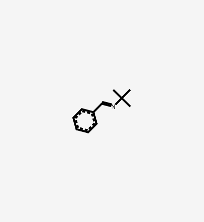 CC(C)(C)/N=C/c1ccccc1